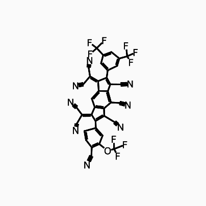 N#CC(C#N)=C1C(c2cc(C(F)(F)F)cc(C(F)(F)F)c2)=C(C#N)c2c1cc1c(c2C#N)C(C#N)=C(c2ccc(C#N)c(OC(F)(F)F)c2)C1=C(C#N)C#N